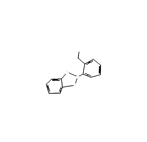 [O]Cc1ccccc1N1Nc2ccccc2N1